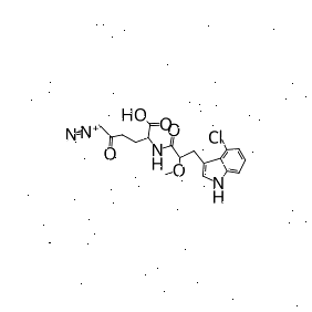 COC(Cc1c[nH]c2cccc(Cl)c12)C(=O)NC(CCC(=O)C=[N+]=[N-])C(=O)O